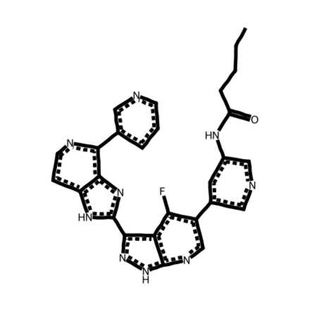 CCCCC(=O)Nc1cncc(-c2cnc3[nH]nc(-c4nc5c(-c6cccnc6)nccc5[nH]4)c3c2F)c1